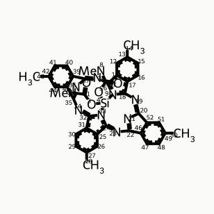 CNC(=O)O[Si]1(OC(=O)NC)n2c3c4cc(C)ccc4c2/N=C2N=C(/N=c4/c5cc(C)ccc5/c(n41)=N/C1=NC(=N\3)/c3ccc(C)cc31)c1ccc(C)cc1\2